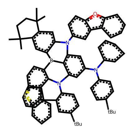 CC(C)(C)c1ccc(N(c2ccccc2)c2cc3c4c(c2)N(c2ccc(C(C)(C)C)cc2-c2ccccc2)c2c(ccc5sc6ccccc6c25)B4c2cc4c(cc2N3c2ccc3oc5ccccc5c3c2)C(C)(C)CCC4(C)C)cc1